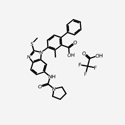 CSc1nc2ccc(NC(=O)N3CCCC3)cc2n1-c1ccc(-c2ccccc2)c(C(=O)O)c1C.O=C(O)C(F)(F)F